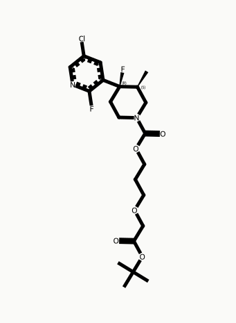 C[C@H]1CN(C(=O)OCCCOCC(=O)OC(C)(C)C)CC[C@]1(F)c1cc(Cl)cnc1F